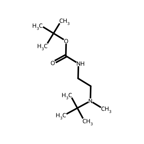 CN(CCNC(=O)OC(C)(C)C)C(C)(C)C